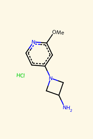 COc1cc(N2CC(N)C2)ccn1.Cl